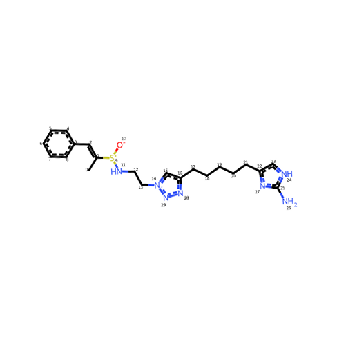 C/C(=C\c1ccccc1)[S+]([O-])NCCn1cc(CCCCCc2c[nH]c(N)n2)nn1